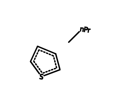 CCCC.c1ccsc1